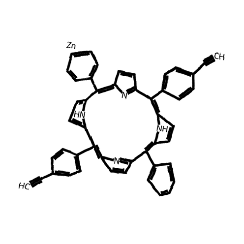 C#Cc1ccc(-c2c3nc(c(-c4ccccc4)c4ccc([nH]4)c(-c4ccc(C#C)cc4)c4nc(c(-c5ccccc5)c5ccc2[nH]5)C=C4)C=C3)cc1.[Zn]